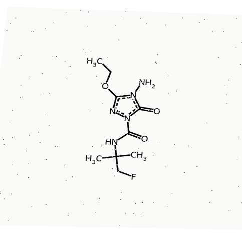 CCOc1nn(C(=O)NC(C)(C)CF)c(=O)n1N